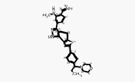 CCC(c1ccc(-c2cc3c(s2)Cc2c(-c4ccc(C=N)c(NC)c4)n[nH]c2-3)cc1)N1CCOCC1